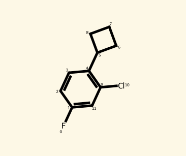 Fc1ccc(C2CCC2)c(Cl)c1